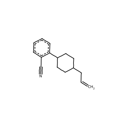 C=CCC1CCC(c2ccccc2C#N)CC1